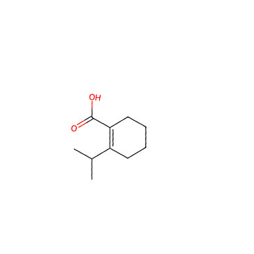 CC(C)C1=C(C(=O)O)CCCC1